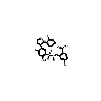 CN(Cc1cc(Cl)ccc1C(N)=O)S(=O)(=O)c1cc(-c2ccnn2-c2ccccc2F)c(O)cc1O